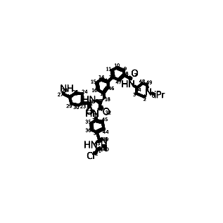 CC(C)N1CCC(NC(=O)c2cccc(-c3cccc(C[C@H](NC(=O)C4CCC(CN)CC4)C(=O)Nc4ccc(-c5nnc(Cl)[nH]5)cc4)c3)c2)CC1